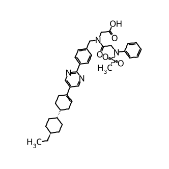 CC[C@H]1CC[C@H](C2CC=C(c3cnc(-c4ccc(CN(CC(=O)O)C(=O)CN(c5ccccc5)S(C)(=O)=O)cc4)nc3)CC2)CC1